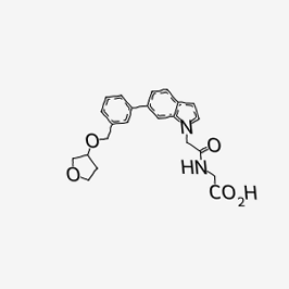 O=C(O)CNC(=O)Cn1ccc2ccc(-c3cccc(COC4CCOC4)c3)cc21